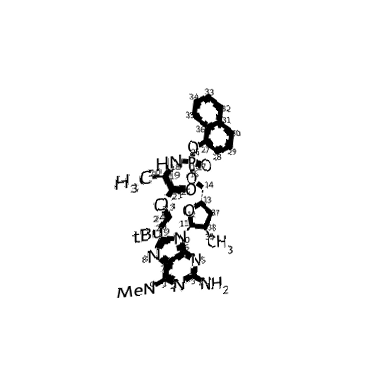 CNc1nc(N)nc2c1ncn2[C@@H]1O[C@H](COP(=O)(N[C@H](C)C(=O)OCC(C)(C)C)Oc2cccc3ccccc23)C[C@@H]1C